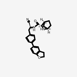 N#C[C@H](Cc1ccc(-c2ccc3c(c2)CCO3)cc1)NC(=O)[C@H]1N[C@@H]2CC[C@H]1C2